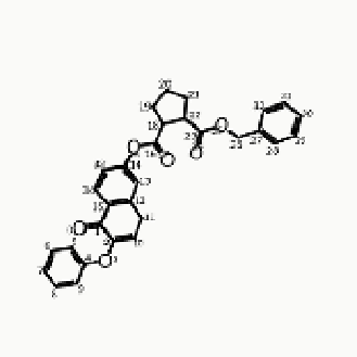 O=C1C(Oc2ccccc2)=CCc2cc(OC(=O)C3CCCC3C(=O)OCc3ccccc3)ccc21